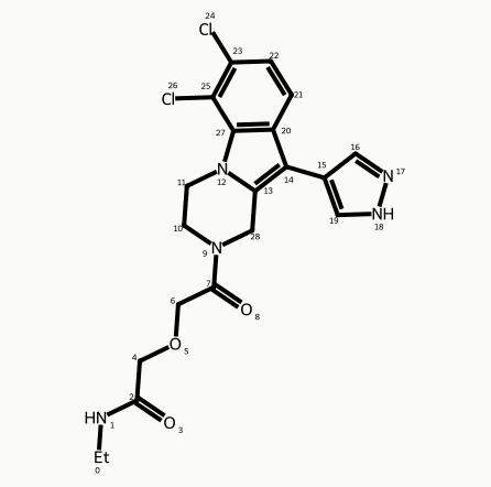 CCNC(=O)COCC(=O)N1CCn2c(c(-c3cn[nH]c3)c3ccc(Cl)c(Cl)c32)C1